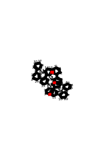 c1ccc(-c2ccccc2-n2c3cccc(-n4c5ccccc5c5ccccc54)c3c3cccc(-n4c5ccccc5c5c([Si](c6ccccc6)(c6ccccc6)c6ccccc6)cccc54)c32)cc1